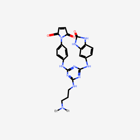 CCN(CC)CCCNc1nc(Nc2ccc(N3C(=O)C=CC3=O)cc2)nc(Nc2ccc3[nH]c(=O)[nH]c3c2)n1